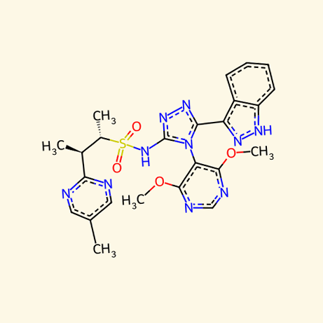 COc1ncnc(OC)c1-n1c(NS(=O)(=O)[C@@H](C)[C@H](C)c2ncc(C)cn2)nnc1-c1n[nH]c2ccccc12